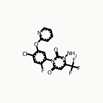 Nn1c(C(F)(F)F)cc(=O)n(-c2cc(Oc3ccccn3)c(Cl)cc2F)c1=O